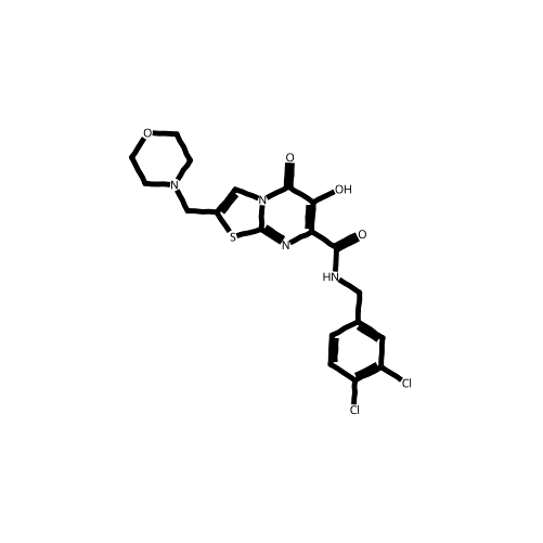 O=C(NCc1ccc(Cl)c(Cl)c1)c1nc2sc(CN3CCOCC3)cn2c(=O)c1O